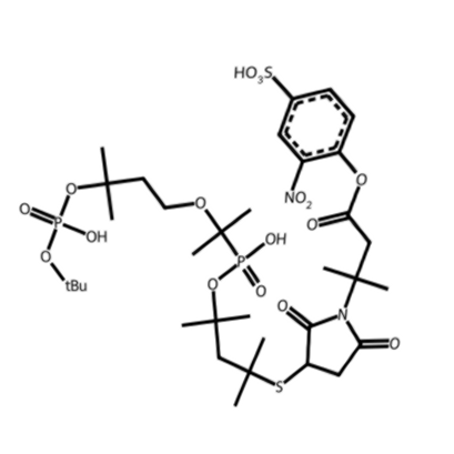 CC(C)(C)OP(=O)(O)OC(C)(C)CCOC(C)(C)P(=O)(O)OC(C)(C)CC(C)(C)SC1CC(=O)N(C(C)(C)CC(=O)Oc2ccc(S(=O)(=O)O)cc2[N+](=O)[O-])C1=O